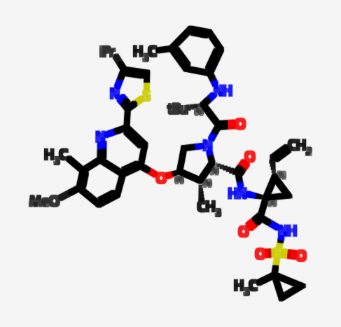 C=C[C@@H]1C[C@]1(NC(=O)[C@@H]1[C@H](C)[C@@H](Oc2cc(-c3nc(C(C)C)cs3)nc3c(C)c(OC)ccc23)CN1C(=O)[C@@H](Nc1cccc(C)c1)C(C)(C)C)C(=O)NS(=O)(=O)C1(C)CC1